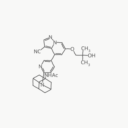 CC(=O)NC12CC3CC(C1)N(c1ccc(-c4cc(OCC(C)(C)O)cn5ncc(C#N)c45)cn1)C(C3)C2